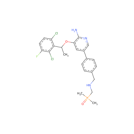 CC(Oc1cc(-c2ccc(CNCP(C)(C)=O)cc2)cnc1N)c1c(Cl)ccc(F)c1Cl